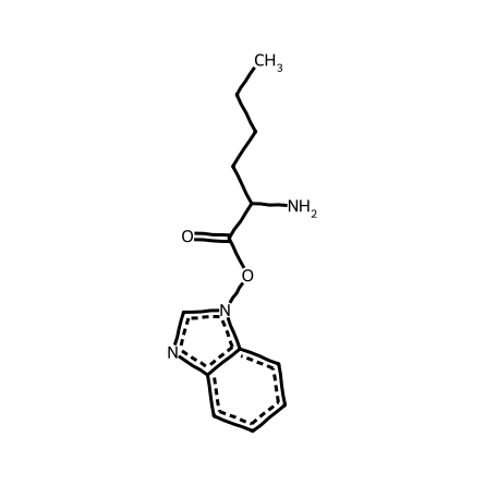 CCCCC(N)C(=O)On1cnc2ccccc21